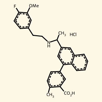 COc1cc(CCNC(C)c2cc(-c3ccc(C)c(C(=O)O)c3)c3ccccc3c2)ccc1F.Cl